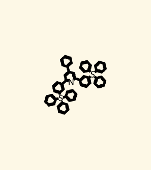 c1ccc(-c2cc(-c3cccc(S(c4ccccc4)(c4ccccc4)c4ccccc4)c3)nc(-c3cccc(S(c4ccccc4)(c4ccccc4)c4ccccc4)c3)c2)cc1